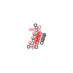 O=C1C(=CC2=Cc3sc4c(c3C2(C(=O)OCc2ccccc2)C(=O)OCc2ccccc2)C(C(=O)OCc2ccccc2)(C(=O)OCc2ccccc2)c2c-4sc3c2C(C(=O)OCc2ccccc2)(C(=O)OCc2ccccc2)C(/C=C2/C(=O)c4ccccc4C2O)=C3)C(=O)c2ccccc21